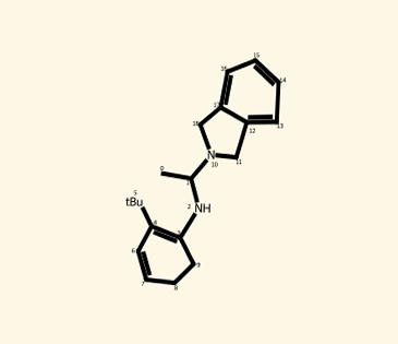 CC(NC1=C(C(C)(C)C)C=CCC1)N1Cc2ccccc2C1